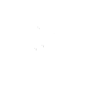 c1ccc(C2=NN(c3nccs3)C(c3ccc4ccccc4c3)C2)cc1